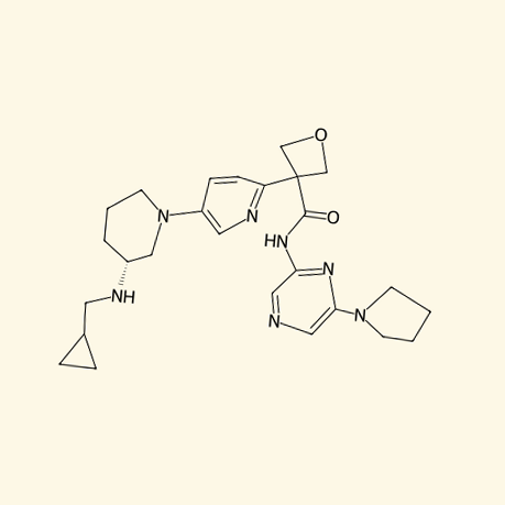 O=C(Nc1cncc(N2CCCC2)n1)C1(c2ccc(N3CCC[C@@H](NCC4CC4)C3)cn2)COC1